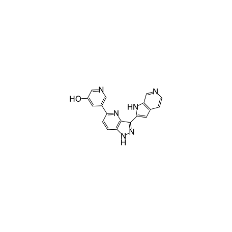 Oc1cncc(-c2ccc3[nH]nc(-c4cc5ccncc5[nH]4)c3n2)c1